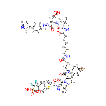 CC1=C(c2ccc(CNC(=O)[C@@H]3C[C@@H](O)CN3C(=O)[C@@H](NC(=O)CCCCCCNC(=O)CCN(C(=O)[C@@H]3CCCN3C(=O)[C@@H](NC(=O)c3cc4cc(C(F)(F)P(=O)(O)O)ccc4s3)C(C)(C)C)c3ccc(Br)cc3)C(C)(C)C)cc2)CC=N1